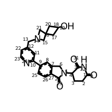 O=C1CCC(N2Cc3cc(-c4cc(CN5CC6(CC(O)C6)C5)ccn4)ccc3C2=O)C(=O)N1